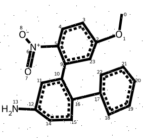 COc1ccc([N+](=O)[O-])c(-c2cc(N)ccc2-c2ccccc2)c1